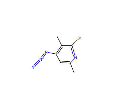 Cc1cc(N=[N+]=[N-])c(C)c(Br)n1